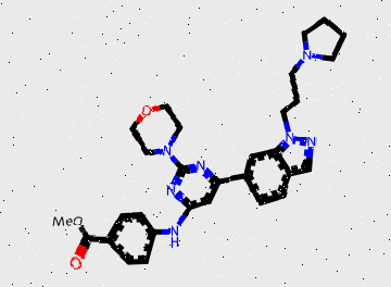 COC(=O)c1ccc(Nc2cc(-c3ccc4cnn(CCCN5CCCC5)c4c3)nc(N3CCOCC3)n2)cc1